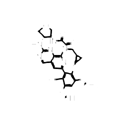 C=CC(=O)N[C@H]1COC[C@H]1Nc1ncc2cc(-c3c(Cl)c(OC)cc(OC)c3Cl)nc(NCC3CC3)c2n1